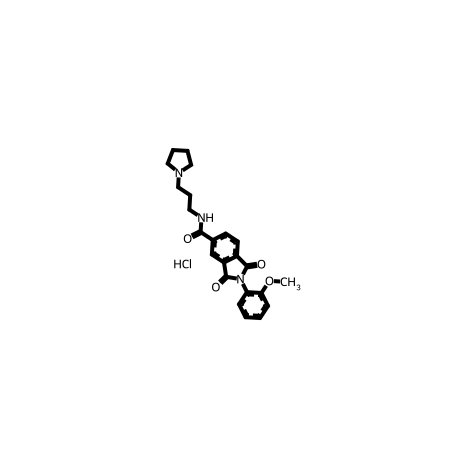 COc1ccccc1N1C(=O)c2ccc(C(=O)NCCCN3CCCC3)cc2C1=O.Cl